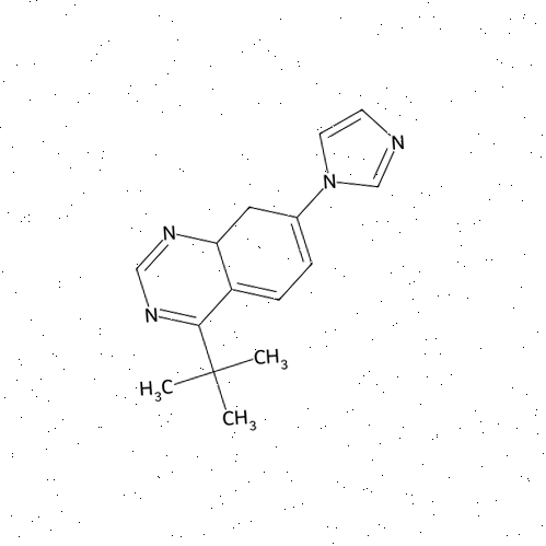 CC(C)(C)C1=NC=NC2CC(n3ccnc3)=CC=C12